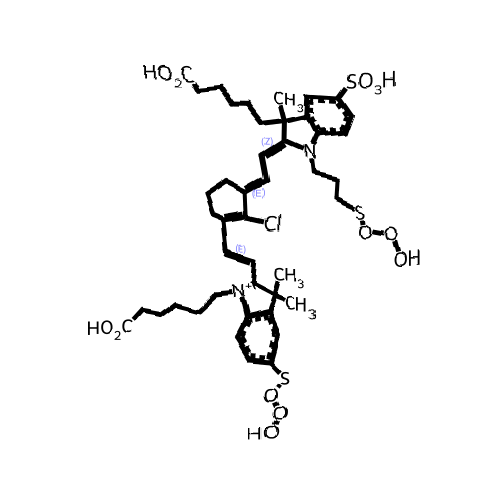 CC1(C)C(/C=C/C2=C(Cl)C(=C/C=C3\N(CCCSOOO)c4ccc(S(=O)(=O)O)cc4C3(C)CCCCCC(=O)O)/CCC2)=[N+](CCCCCC(=O)O)c2ccc(SOOO)cc21